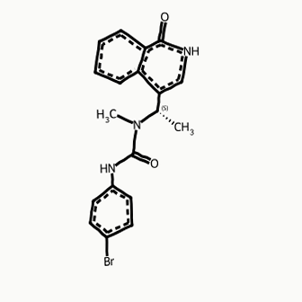 C[C@@H](c1c[nH]c(=O)c2ccccc12)N(C)C(=O)Nc1ccc(Br)cc1